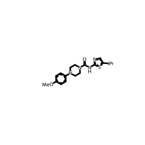 COc1ccc(N2CCN(C(=O)Nc3ncc(C(C)C)s3)CC2)cc1